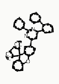 c1ccc(-c2nc(-c3ccc4c(c3)C3(c5ccccc5O4)c4ccccc4-c4ccccc43)cc(-c3ccccc3-c3ccccc3)n2)cc1